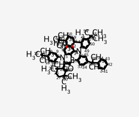 Cc1cc2c3c(c1)N(c1ccc(C(C)(C)C)cc1)c1c(oc4c1C(C)(C)CCC4(C)C)B3c1ccc(C(C)(C)c3ccccc3)cc1N2c1ccc(C(C)(C)C)cc1-c1ccc(C(C)(C)C)cc1